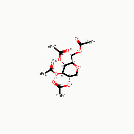 CCCC(=O)OC[C@H]1O[CH][C@H](OC(=O)CCC)[C@@H](OC(=O)CCC)[C@@H]1OC(=O)CCC